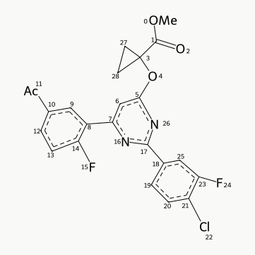 COC(=O)C1(Oc2cc(-c3cc(C(C)=O)ccc3F)nc(-c3ccc(Cl)c(F)c3)n2)CC1